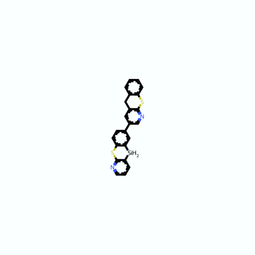 c1ccc2c(c1)Cc1cc(-c3ccc4c(c3)[SiH2]c3cccnc3S4)cnc1S2